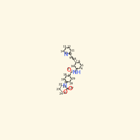 O=C(Nc1cccc(C#Cc2ccccn2)c1)c1ccc(N2CCCOC2=O)cc1